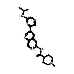 CC(C)Nc1cncc(-c2cnc3cnc(NC(=O)C4CCN(C)CC4)cc3c2)n1